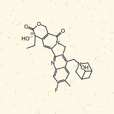 CC[C@@]1(O)C(=O)OCc2c1cc1n(c2=O)Cc2c-1nc1cc(F)c(C)cc1c2CN1CC2CC(C1)C2O